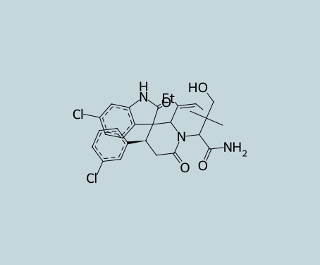 C/C=C(/CC)C1N(C(C(N)=O)C(C)(C)CO)C(=O)C[C@@H](c2cccc(Cl)c2)C12C(=O)Nc1cc(Cl)ccc12